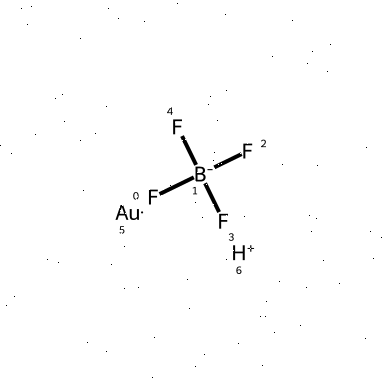 F[B-](F)(F)F.[Au].[H+]